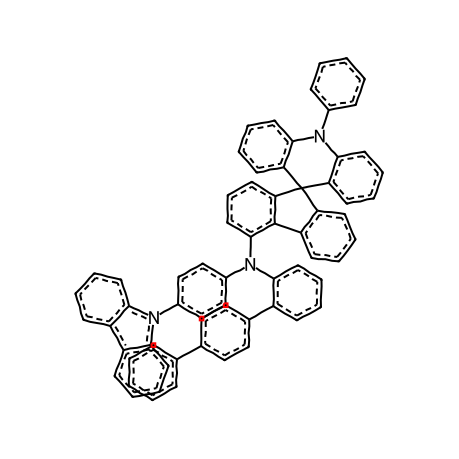 c1ccc(-c2ccc(-c3ccccc3N(c3ccc(-n4c5ccccc5c5ccccc54)cc3)c3cccc4c3-c3ccccc3C43c4ccccc4N(c4ccccc4)c4ccccc43)cc2)cc1